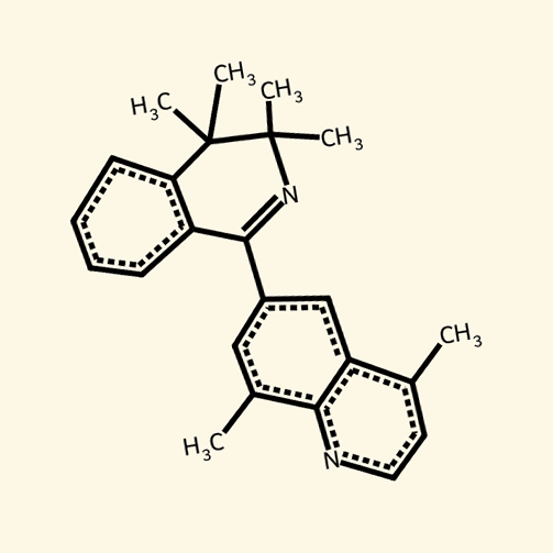 Cc1ccnc2c(C)cc(C3=NC(C)(C)C(C)(C)c4ccccc43)cc12